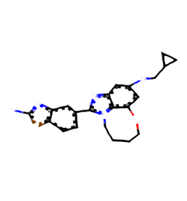 Nc1nc2cc(-c3nc4cc(NCC5CC5)cc5c4n3CCCCO5)ccc2s1